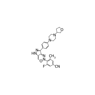 Cc1cc(C#N)cc(F)c1N1N=c2c(-c3ccc(N4CCN(C5CCOC5)CC4)cc3)n[nH]c2=CO1